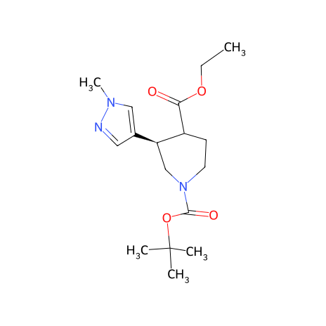 CCOC(=O)C1CCN(C(=O)OC(C)(C)C)C[C@H]1c1cnn(C)c1